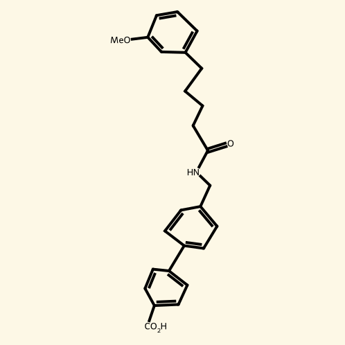 COc1cccc(CCCCC(=O)NCc2ccc(-c3ccc(C(=O)O)cc3)cc2)c1